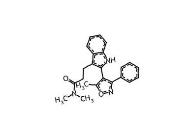 Cc1onc(-c2ccccc2)c1-c1[nH]c2ccccc2c1CCC(=O)N(C)C